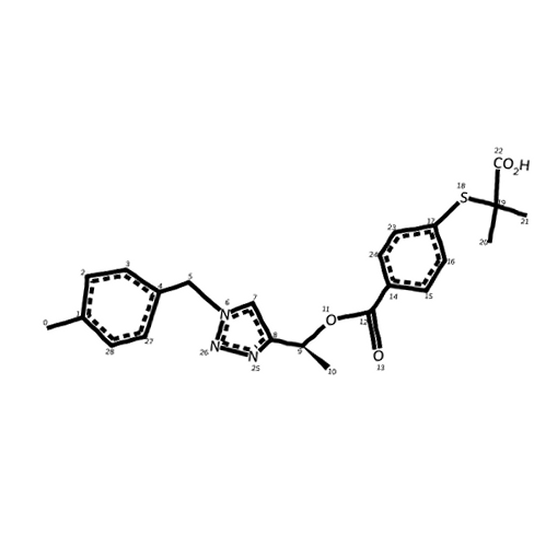 Cc1ccc(Cn2cc([C@H](C)OC(=O)c3ccc(SC(C)(C)C(=O)O)cc3)nn2)cc1